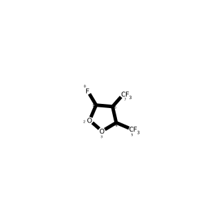 FC1OOC(C(F)(F)F)C1C(F)(F)F